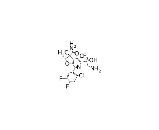 C[C@]1(C(N)=O)COc2c1cc([C@@](O)(CN)C(F)(F)F)nc2-c1cc(F)c(F)cc1Cl